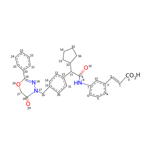 O=C(O)/C=C/c1cccc(NC(=O)C(c2ccc(CN3N=C(c4ccccc4)OCC3=O)cc2)C2CCCC2)c1